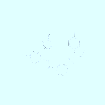 O=C(Nc1ccc(Br)cc1-c1noc(=O)[nH]1)c1cccc(S(=O)(=O)N2CCc3cc(Cl)ccc32)c1